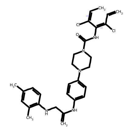 C=C/C(Cl)=C(NC(=O)N1CCN(c2ccc(NC(=C)CNc3ccc(C)cc3C)cc2)CC1)\C(Cl)=C/C